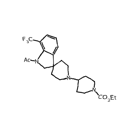 CCOC(=O)N1CCC(N2CCC3(CC2)CN(C(C)=O)c2c(C(F)(F)F)cccc23)CC1